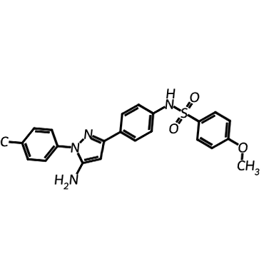 COc1ccc(S(=O)(=O)Nc2ccc(-c3cc(N)n(-c4ccc(C)cc4)n3)cc2)cc1